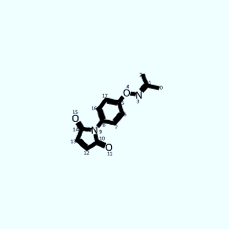 CC(C)=NOc1ccc(N2C(=O)C=CC2=O)cc1